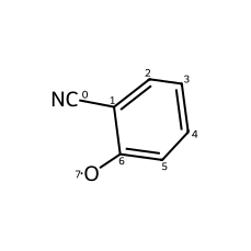 N#Cc1ccccc1[O]